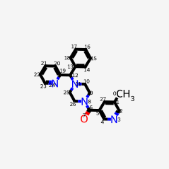 Cc1cncc(C(=O)N2CCN(C(c3ccccc3)c3ccccn3)CC2)c1